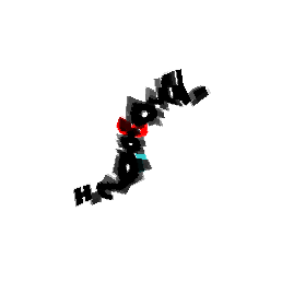 CCCC[C@H]1CC[C@H](OC(=O)c2ccc(-c3ccc(CCC)cc3F)cc2)CC1